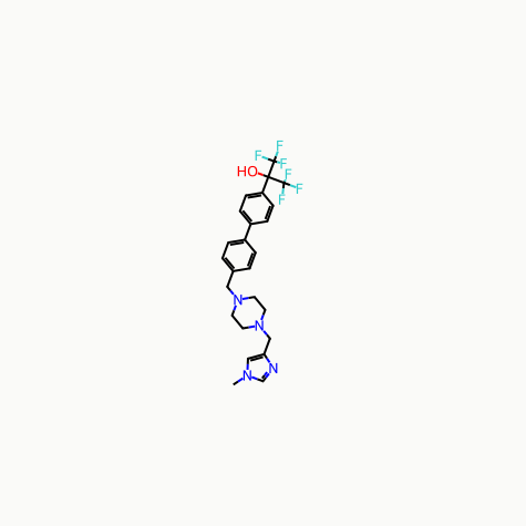 Cn1cnc(CN2CCN(Cc3ccc(-c4ccc(C(O)(C(F)(F)F)C(F)(F)F)cc4)cc3)CC2)c1